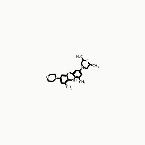 Cc1cc(N2CCOCC2)cc2c1Nc1c(C)cc(N3CC(C)OC(C)C3)cc1S2